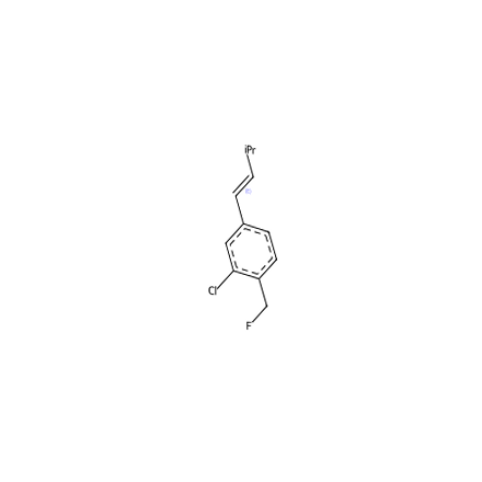 CC(C)/C=C/c1ccc(CF)c(Cl)c1